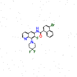 O=C(Nc1cc2cccnc2c(N2CCC(F)(F)CC2)c1F)c1ccc(Br)c2ccccc12